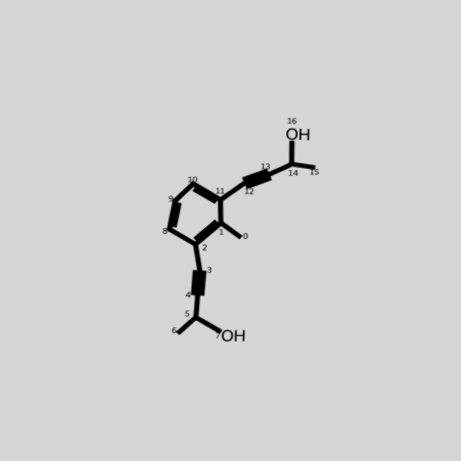 Cc1c(C#CC(C)O)cccc1C#CC(C)O